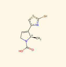 C[C@@H]1C(c2csc(S)n2)=CCN1C(=O)O